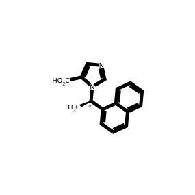 C[C@H](c1cccc2ccccc12)n1cncc1C(=O)O